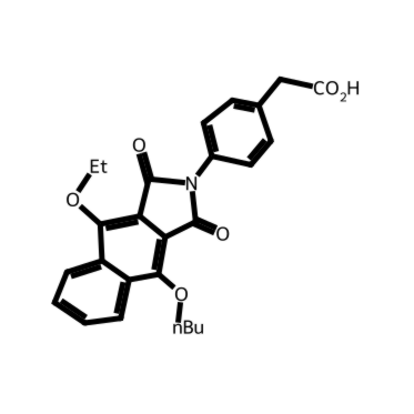 CCCCOc1c2c(c(OCC)c3ccccc13)C(=O)N(c1ccc(CC(=O)O)cc1)C2=O